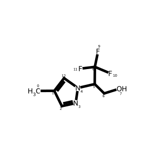 Cc1cnn(C(CO)C(F)(F)F)c1